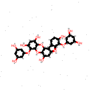 Oc1cc(O)cc(Oc2c(O)cc(O)c3c2Oc2c(O)cc4oc5c(Oc6cc(O)cc(O)c6)c(O)ccc5c4c2O3)c1